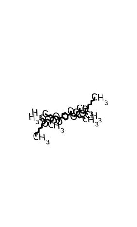 CCCCCCOC(C)OC(C)OC(CCC)OC(=O)c1ccc(C(=O)OC(CCC)OC(C)OC(C)OCCCCCC)cc1